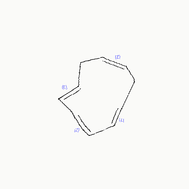 C1=C\C=C\C/C=C\C\C=C/1